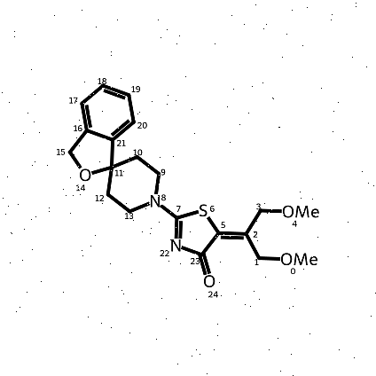 COCC(COC)=C1SC(N2CCC3(CC2)OCc2ccccc23)=NC1=O